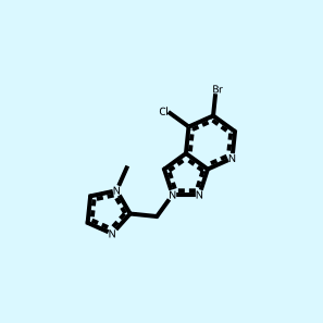 Cn1ccnc1Cn1cc2c(Cl)c(Br)cnc2n1